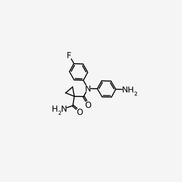 NC(=O)C1(C(=O)N(c2ccc(N)cc2)c2ccc(F)cc2)CC1